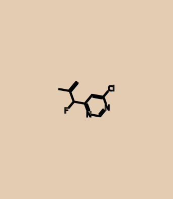 C=C(C)C(F)c1cc(Cl)ncn1